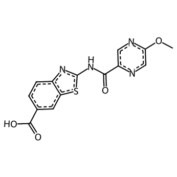 COc1cnc(C(=O)Nc2nc3ccc(C(=O)O)cc3s2)cn1